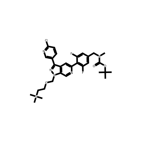 CN(Cc1cc(F)c(-c2cc3c(-c4ccc(Cl)nc4)nn(COCCS(C)(C)C)c3cn2)c(F)c1)C(=O)OC(C)(C)C